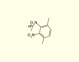 CCCC.Cc1ccc(C)c([N+](=O)[O-])c1[N+](=O)[O-]